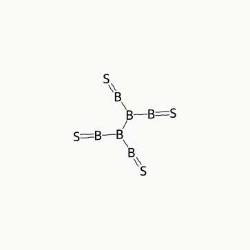 S=BB(B=S)B(B=S)B=S